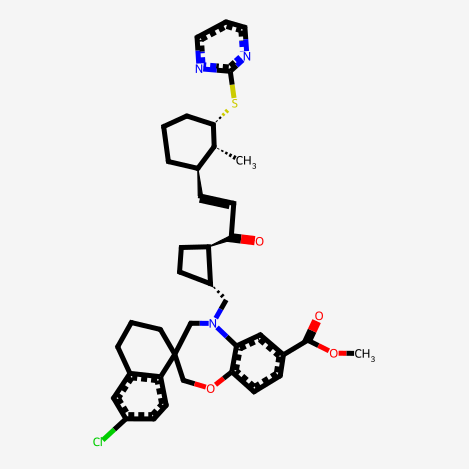 COC(=O)c1ccc2c(c1)N(C[C@@H]1CC[C@H]1C(=O)/C=C/[C@H]1CCC[C@H](Sc3ncccn3)[C@@H]1C)CC1(CCCc3cc(Cl)ccc31)CO2